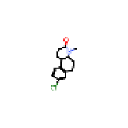 CN1C(=O)CCC2c3ccc(Cl)cc3CCC21